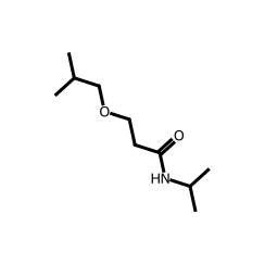 CC(C)COCCC(=O)NC(C)C